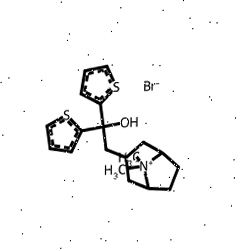 C[N+]1(C)C2CCC1CC(CC(O)(c1cccs1)c1cccs1)C2.[Br-]